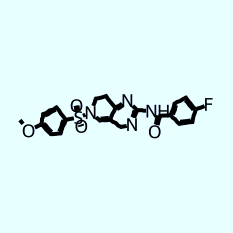 COc1ccc(S(=O)(=O)N2C=C3CN=C(NC(=O)c4ccc(F)cc4)N=C3CC2)cc1